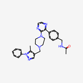 CC(=O)NCc1ccc(-c2nccnc2N2CCN(Cc3cnn(-c4ccccc4)c3C)CC2)cc1